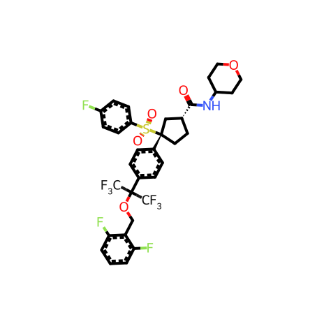 O=C(NC1CCOCC1)[C@@H]1CC[C@](c2ccc(C(OCc3c(F)cccc3F)(C(F)(F)F)C(F)(F)F)cc2)(S(=O)(=O)c2ccc(F)cc2)C1